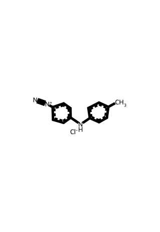 Cc1ccc(Nc2ccc([N+]#N)cc2)cc1.[Cl-]